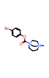 C[N+]12CCC[N+](C(=O)Oc3ccc(Br)cc3)(CC1)CC2